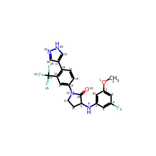 COc1cc(F)cc(NC2CCN(c3ccc(-c4cn[nH]c4)c(C(F)(F)F)c3)C2=O)c1